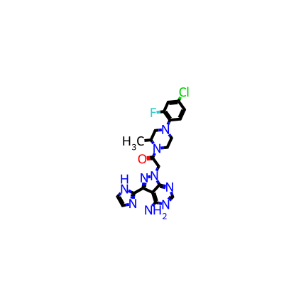 CC1CN(c2ccc(Cl)cc2F)CCN1C(=O)Cn1nc(-c2ncc[nH]2)c2c(N)ncnc21